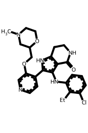 CCc1c(Cl)cccc1Nc1c(-c2ccncc2OCC2CN(C)CCO2)[nH]c2c1C(=O)NCC2